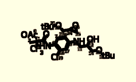 CC(=O)O[C@](C)(C(=O)Nc1ccc(NCC(O)COC(C)(C)C)cc1Cl)C(F)(F)F.CC(C)(C)OCC1CO1